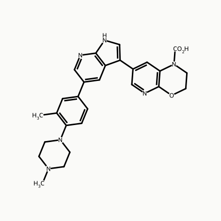 Cc1cc(-c2cnc3[nH]cc(-c4cnc5c(c4)N(C(=O)O)CCO5)c3c2)ccc1N1CCN(C)CC1